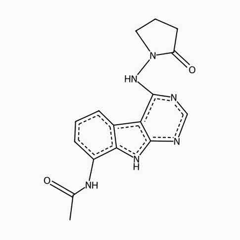 CC(=O)Nc1cccc2c1[nH]c1ncnc(NN3CCCC3=O)c12